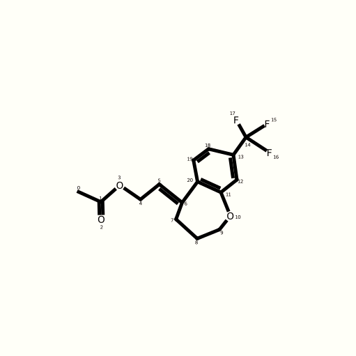 CC(=O)OC/C=C1\CCCOc2cc(C(F)(F)F)ccc21